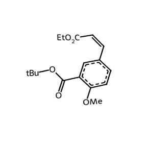 CCOC(=O)/C=C\c1ccc(OC)c(C(=O)OC(C)(C)C)c1